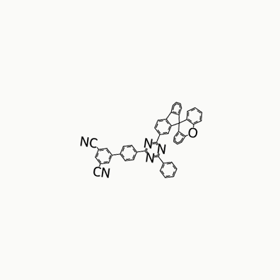 N#Cc1cc(C#N)cc(-c2ccc(-c3nc(-c4ccccc4)nc(-c4ccc5c(c4)C4(c6ccccc6Oc6ccccc64)c4ccccc4-5)n3)cc2)c1